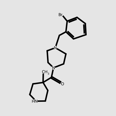 CC1(C(=O)N2CCN(Cc3ccccc3Br)CC2)CCNCC1